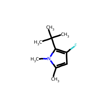 Cc1cc(F)c(C(C)(C)C)n1C